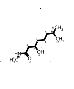 CNC(=O)CC(O)CCCC(C)C